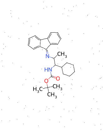 CC(N=C1c2ccccc2-c2ccccc21)C(NC(=O)OC(C)(C)C)C1CCCCC1